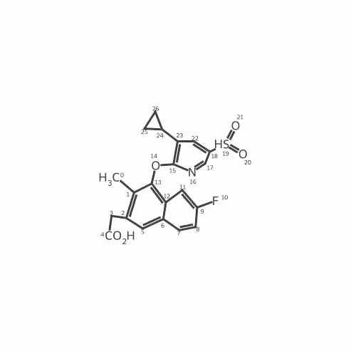 Cc1c(CC(=O)O)cc2ccc(F)cc2c1Oc1ncc([SH](=O)=O)cc1C1CC1